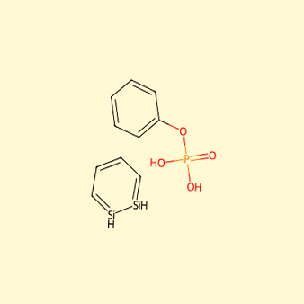 O=P(O)(O)Oc1ccccc1.c1cc[siH][siH]c1